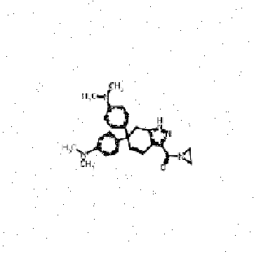 CN(C)c1ccc(C2(c3ccc(N(C)C)cc3)C=Cc3c(C(=O)N4CC4)n[nH]c3C2)cc1